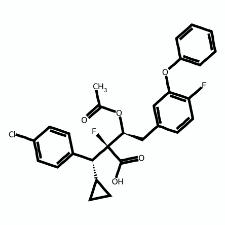 CC(=O)O[C@@H](Cc1ccc(F)c(Oc2ccccc2)c1)[C@](F)(C(=O)O)[C@@H](c1ccc(Cl)cc1)C1CC1